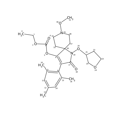 CCOC(=O)OC1=C(c2c(C)cc(C)cc2C)C(=O)N(OC2CCOC2)C12CCN(OC)CC2